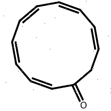 O=C1\C=C/C=C\C=C/C=C\C=C/C1